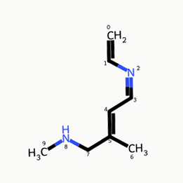 C=C/N=C\C=C(/C)CNC